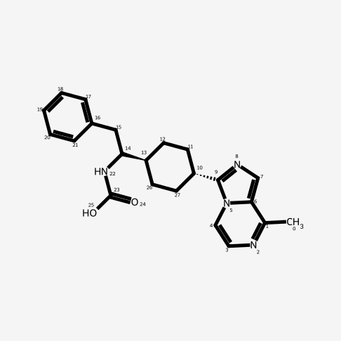 Cc1nccn2c1cnc2[C@H]1CC[C@H](C(Cc2ccccc2)NC(=O)O)CC1